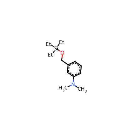 CC[Si](CC)(CC)OCc1cccc(N(C)C)c1